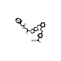 COC(=O)c1ccc(CCc2ccccc2CN2CCC3(CCN(C(=O)CNC(=O)CC45CC6CC(CC4C6)C5)C3)C2)cc1